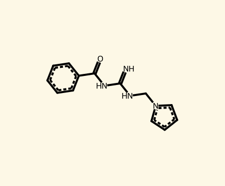 N=C(NCn1cccc1)NC(=O)c1ccccc1